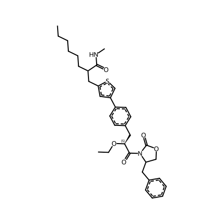 CCCCCCC(Cc1cc(-c2ccc(C[C@H](OCC)C(=O)N3C(=O)OCC3Cc3ccccc3)cc2)cs1)C(=O)NC